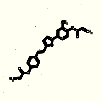 C=CC(=O)Oc1ccc(/C=C/c2ccc(-c3ccc(OC(=O)C=C)c(C)c3)o2)cc1